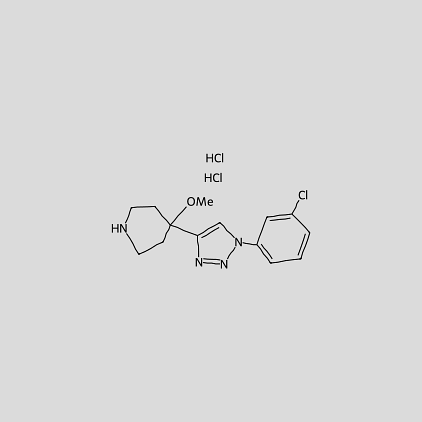 COC1(c2cn(-c3cccc(Cl)c3)nn2)CCNCC1.Cl.Cl